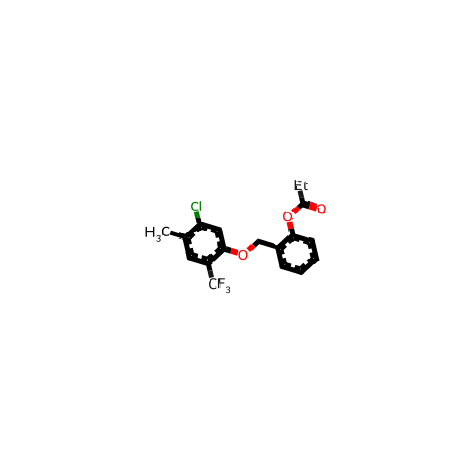 CCC(=O)Oc1ccccc1COc1cc(Cl)c(C)cc1C(F)(F)F